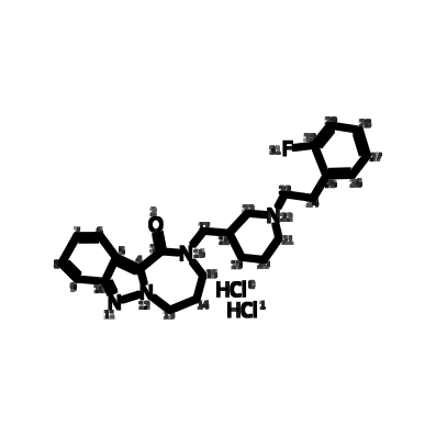 Cl.Cl.O=C1c2c3ccccc3nn2CCCN1CC1CCCN(CCc2ccccc2F)C1